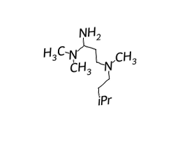 CC(C)CCN(C)CCC(N)N(C)C